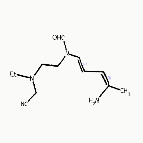 CCN(CC#N)CCN(C=O)/C=C/C=C(/C)N